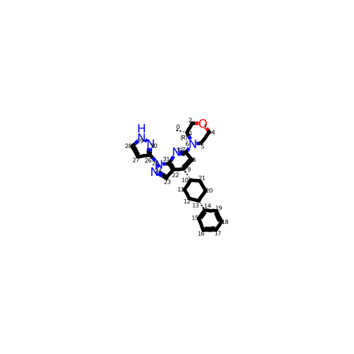 C[C@@H]1COCCN1c1cc([C@H]2CC[C@@H](c3ccccc3)CC2)c2cnn(-c3cc[nH]n3)c2n1